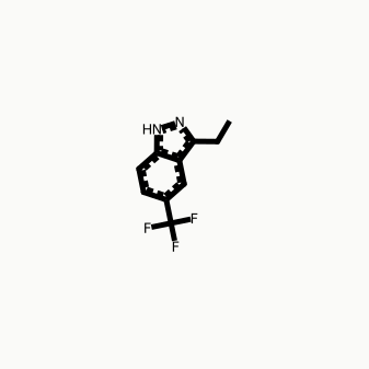 CCc1n[nH]c2ccc(C(F)(F)F)cc12